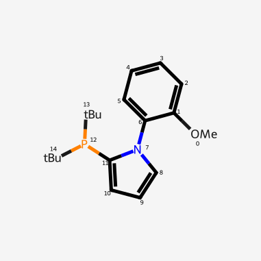 COc1ccccc1-n1cccc1P(C(C)(C)C)C(C)(C)C